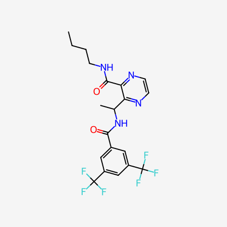 CCCCNC(=O)c1nccnc1C(C)NC(=O)c1cc(C(F)(F)F)cc(C(F)(F)F)c1